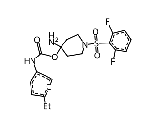 CCc1ccc(NC(=O)OC2(N)CCN(S(=O)(=O)c3c(F)cccc3F)CC2)cc1